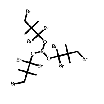 CC(C)(CBr)C(Br)(Br)OB(OC(Br)(Br)C(C)(C)CBr)OC(Br)(Br)C(C)(C)CBr